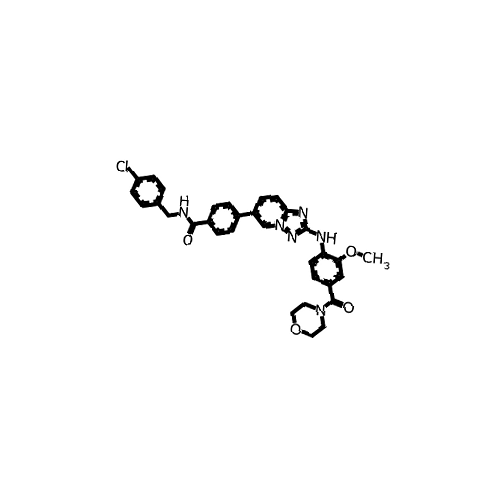 COc1cc(C(=O)N2CCOCC2)ccc1Nc1nc2ccc(-c3ccc(C(=O)NCc4ccc(Cl)cc4)cc3)cn2n1